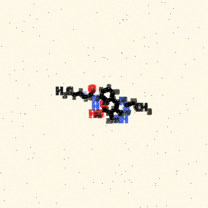 CC/C=C/C(=O)Nc1cccc(-c2nc(CC)nc3[nH]cc(C(=O)O)c23)c1